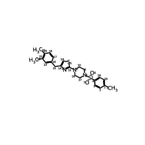 Cc1ccc(S(=O)(=O)N2CCN(c3nc(Cc4ccc(C)c(C)c4)cs3)CC2)cc1